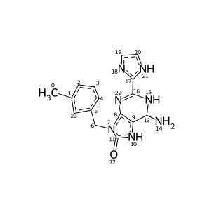 Cc1cccc(Cn2c3c([nH]c2=O)C(N)NC(c2ncc[nH]2)=N3)c1